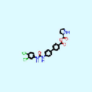 O=C(Nc1ccc(-c2ccc(C(=O)OC(=O)[C@H]3CCCN3)cc2)cc1)Nc1ccc(Cl)c(Cl)c1